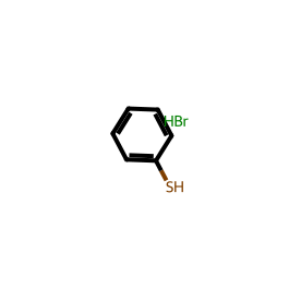 Br.Sc1ccccc1